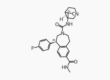 CNC(=O)c1ccc2c(c1)CCN(C(=O)N[C@@H]1CN3CCC1CC3)C[C@@H]2c1ccc(F)cc1